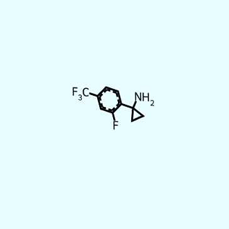 NC1(c2ccc(C(F)(F)F)cc2F)CC1